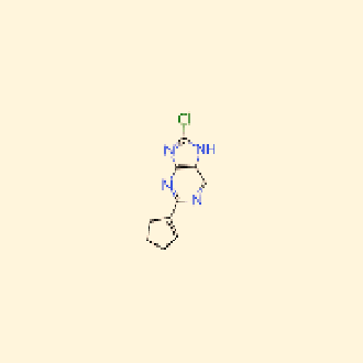 Clc1nc2nc(C3=CCCC3)ncc2[nH]1